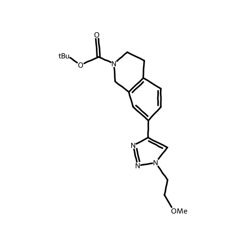 COCCn1cc(-c2ccc3c(c2)CN(C(=O)OC(C)(C)C)CC3)nn1